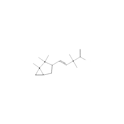 CC(O)C(C)(C)/C=C/C1CC2CC2(C)C1(C)C